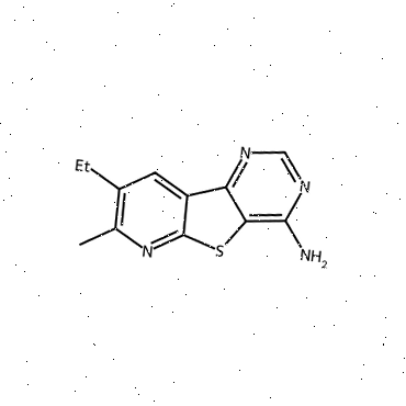 CCc1cc2c(nc1C)sc1c(N)ncnc12